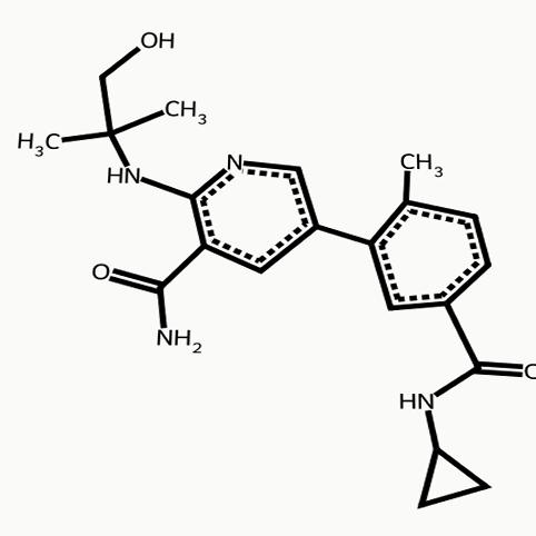 Cc1ccc(C(=O)NC2CC2)cc1-c1cnc(NC(C)(C)CO)c(C(N)=O)c1